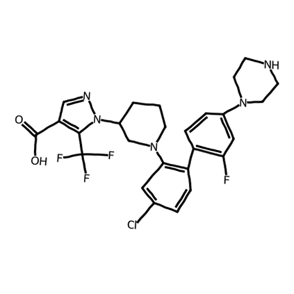 O=C(O)c1cnn(C2CCCN(c3cc(Cl)ccc3-c3ccc(N4CCNCC4)cc3F)C2)c1C(F)(F)F